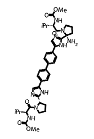 COC(=O)N[C@H](C(=O)N1CCC[C@H]1c1ncc(-c2ccc(-c3ccc(-c4cnc([C@]5(N)CCCN5C(=O)[C@@H](NC(=O)OC)C(C)C)[nH]4)cc3)cc2)[nH]1)C(C)C